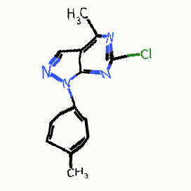 Cc1ccc(-n2ncc3c(C)nc(Cl)nc32)cc1